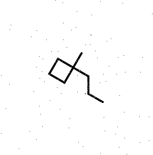 C[CH]CC1(C)CCC1